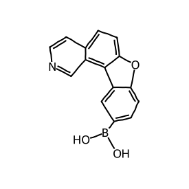 OB(O)c1ccc2oc3ccc4ccncc4c3c2c1